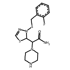 NC(=O)C(C1SC=NN1SCc1ccccc1F)N1CCNCC1